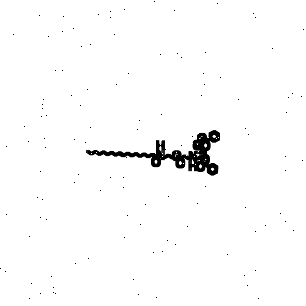 CCCCCCCCC=CCCCCCCCC(=O)NCCCOC(=O)CCNCC(OC(=O)c1ccccc1)C(C)(C)C(=O)OC(=O)c1ccccc1